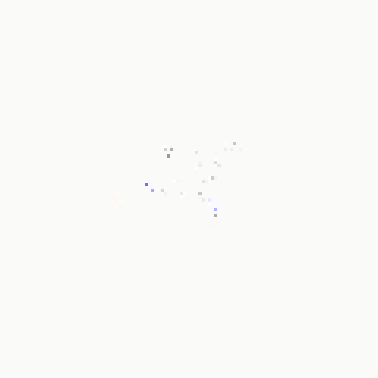 COc1cc2c(cc1OC)C(c1ccc(N3CCC4(COC4)C3)cc1)=CN(C(C)=O)C(C)C2